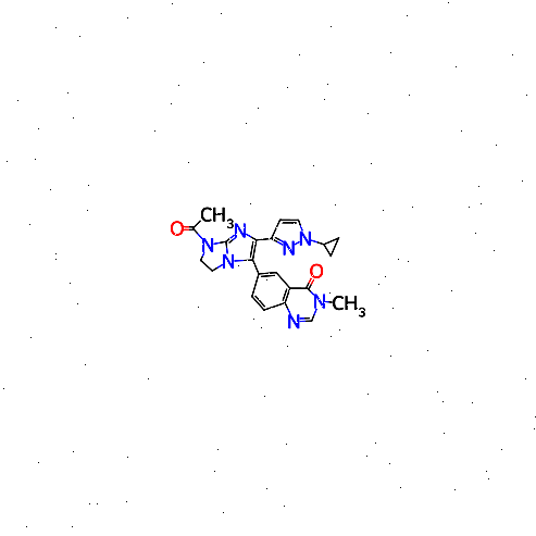 CC(=O)N1CCn2c1nc(-c1ccn(C3CC3)n1)c2-c1ccc2ncn(C)c(=O)c2c1